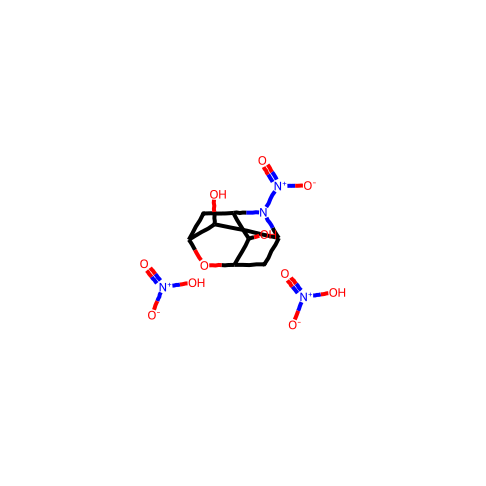 O=[N+]([O-])N1C2CC3OC(CC1C3O)C2O.O=[N+]([O-])O.O=[N+]([O-])O